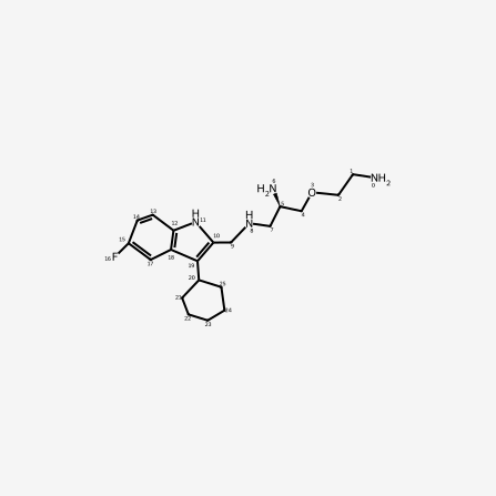 NCCOC[C@H](N)CNCc1[nH]c2ccc(F)cc2c1C1CCCCC1